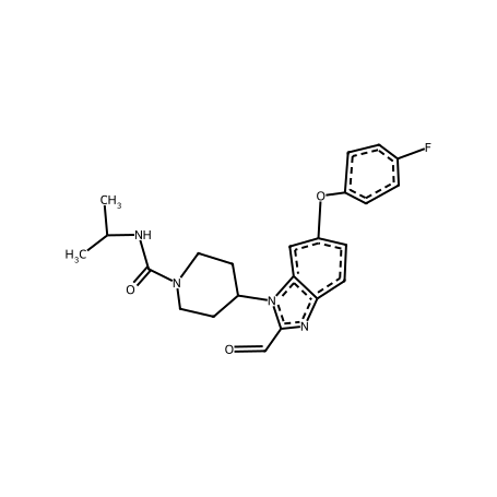 CC(C)NC(=O)N1CCC(n2c(C=O)nc3ccc(Oc4ccc(F)cc4)cc32)CC1